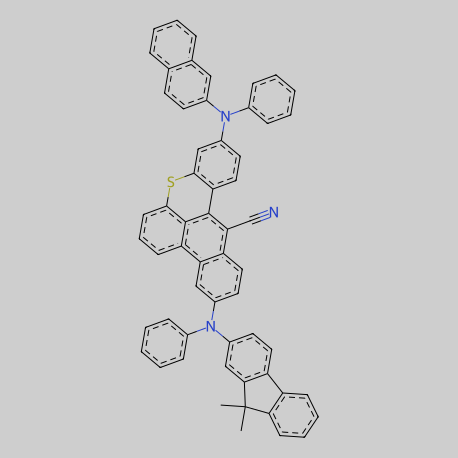 CC1(C)c2ccccc2-c2ccc(N(c3ccccc3)c3ccc4c(C#N)c5c6c(cccc6c4c3)Sc3cc(N(c4ccccc4)c4ccc6ccccc6c4)ccc3-5)cc21